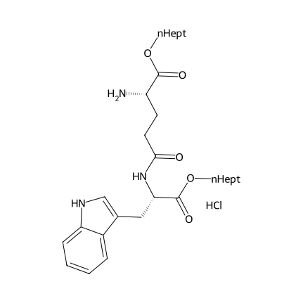 CCCCCCCOC(=O)[C@H](Cc1c[nH]c2ccccc12)NC(=O)CC[C@H](N)C(=O)OCCCCCCC.Cl